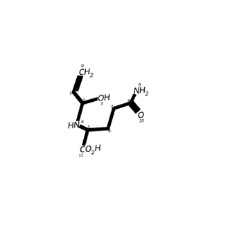 C=CC(O)NC(CCC(N)=O)C(=O)O